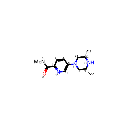 CNC(=O)c1ccc(N2C[C@@H](C)N[C@@H](C)C2)cn1